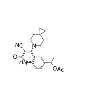 CC(=O)OC(C)c1ccc2[nH]c(=O)c(C#N)c(N3CCC4(CC3)CC4)c2c1